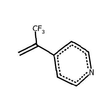 C=C(c1ccncc1)C(F)(F)F